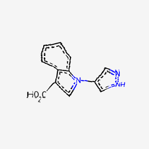 O=C(O)c1cn(-c2cn[nH]c2)c2ccccc12